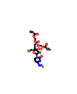 CC(C)(C)C(=O)OCOP(=O)(CC1[C@@]2(CCl)O[C@@H](n3ccc(N)nc3=O)[C@H](F)[C@@]12O)OCOC(=O)C(C)(C)C